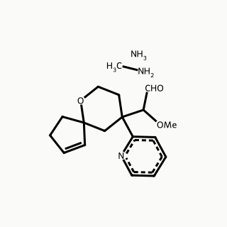 CN.COC(C=O)C1(c2ccccn2)CCOC2(C=CCC2)C1.N